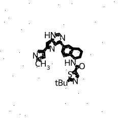 Cn1cc(-c2cc3[nH]cnc(-c4ccc5c(c4)CCCC5NC(=O)c4cnc(C(C)(C)C)s4)c-3n2)cn1